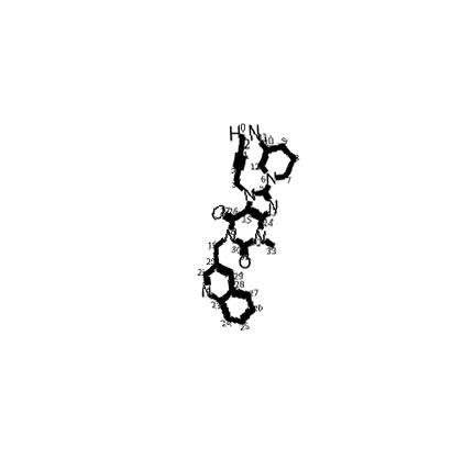 CC#CCn1c(N2CCCC(N)C2)nc2c1c(=O)n(Cc1cnc3ccccc3c1)c(=O)n2C